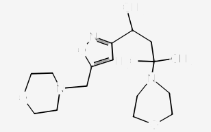 CC(CC(C)(C)N1CCOCC1)c1cc(CN2CCOCC2)on1